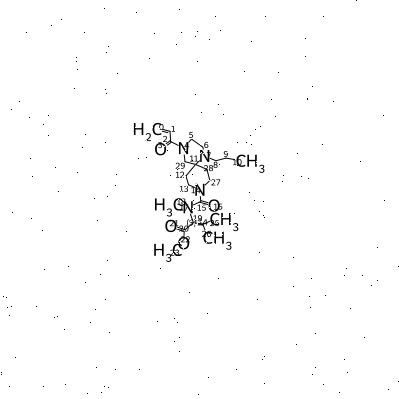 C=CC(=O)N1CCN(CCC)C2(CCN(C(=O)N(C)[C@H](C(=O)OC)C(C)C)CC2)C1